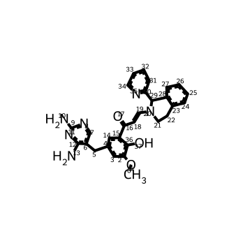 COc1cc(Cc2cnc(N)nc2N)cc(C(=O)/C=C/N2CCc3ccccc3C2c2ccccn2)c1O